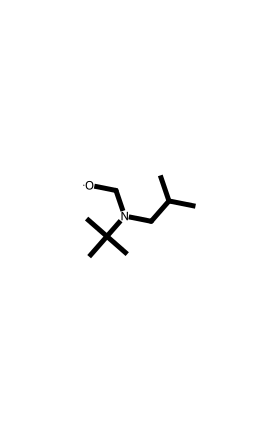 CC(C)CN(C[O])C(C)(C)C